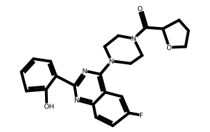 O=C(C1CCCO1)N1CCN(c2nc(-c3ccccc3O)nc3ccc(F)cc23)CC1